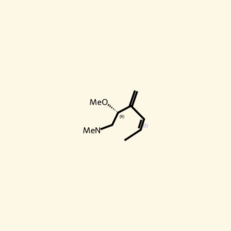 C=C(/C=C\C)[C@H](CNC)OC